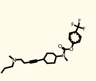 CCCN(C)CCC#CC1CCC(N(C)C(=O)Oc2ccc(C(F)(F)F)cc2)CC1